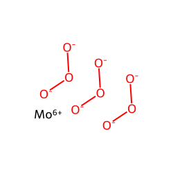 [Mo+6].[O-]O[O-].[O-]O[O-].[O-]O[O-]